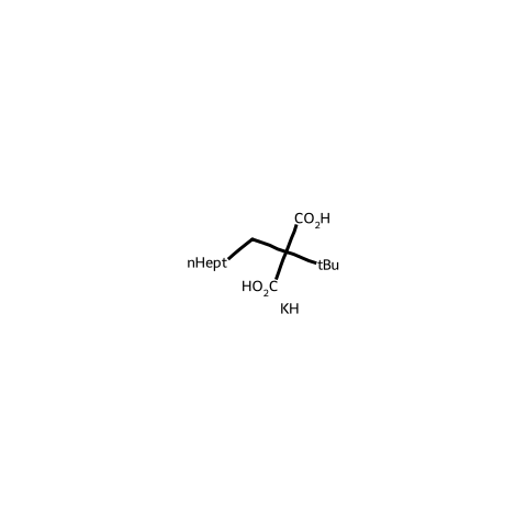 CCCCCCCCC(C(=O)O)(C(=O)O)C(C)(C)C.[KH]